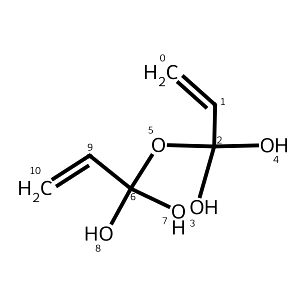 C=CC(O)(O)OC(O)(O)C=C